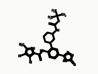 Cc1[nH]c(C(=O)Nc2ccc(-c3noc(=O)[nH]3)cc2N2CCCC(NC(=O)OC(C)(C)C)C2)c(Cl)c1Cl